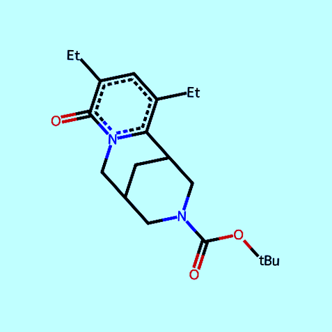 CCc1cc(CC)c(=O)n2c1C1CC(CN(C(=O)OC(C)(C)C)C1)C2